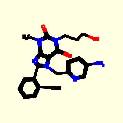 COc1ccccc1-c1nc2c(c(=O)n(CCCO)c(=O)n2C)n1Cc1ccc(N)cn1